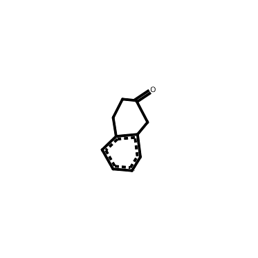 O=C1CCc2cc[c]cc2C1